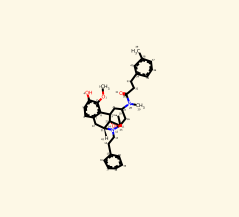 COc1c(O)ccc2c1[C@]13CCN(CCc4ccccc4)[C@H](C2)[C@]1(O)CCC(N(C)C(=O)CCc1cccc(C)c1)C3